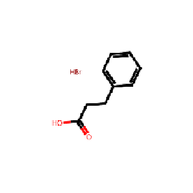 Br.O=C(O)CCc1ccccc1